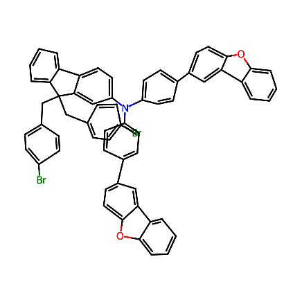 Brc1ccc(CC2(Cc3ccc(Br)cc3)c3ccccc3-c3ccc(N(c4ccc(-c5ccc6oc7ccccc7c6c5)cc4)c4ccc(-c5ccc6oc7ccccc7c6c5)cc4)cc32)cc1